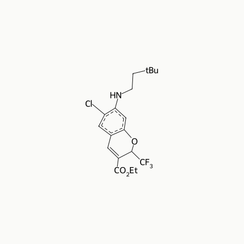 CCOC(=O)C1=Cc2cc(Cl)c(NCCC(C)(C)C)cc2OC1C(F)(F)F